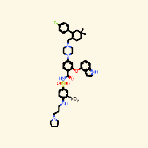 CC1(C)CCC(CN2CCN(c3ccc(C(=O)NS(=O)(=O)c4ccc(NCCCN5CCCC5)c([N+](=O)[O-])c4)c(Oc4cccc5[nH]ccc45)c3)CC2)=C(c2ccc(F)cc2)C1